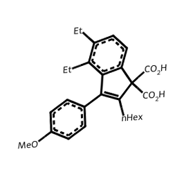 CCCCCCC1=C(c2ccc(OC)cc2)c2c(ccc(CC)c2CC)C1(C(=O)O)C(=O)O